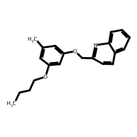 CCCCOc1cc(C)cc(OCc2ccc3ccccc3n2)c1